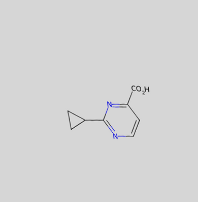 O=C(O)c1ccnc(C2CC2)n1